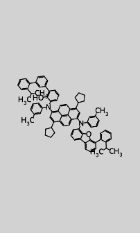 Cc1cccc(N(c2cccc(-c3cccc(-c4ccccc4C(C)C)c3)c2O)c2cc(C3CCCC3)c3ccc4c(N(c5cccc(C)c5)c5cccc6c5oc5c(-c7ccccc7C(C)C)cccc56)cc(C5CCCC5)c5ccc2c3c54)c1